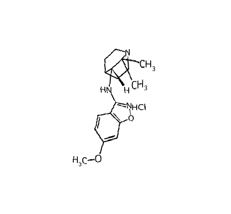 COc1ccc2c(N[C@@H]3C4CCN(CC4)C3(C)C)noc2c1.Cl